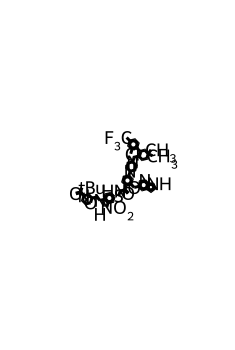 CC1(C)CCC(CN2CCN(c3ccc(C(=O)NSc4ccc(NCC5CN(C(=O)C(C)(C)C)CCO5)c([N+](=O)[O-])c4)c(Oc4cnc5[nH]ccc5c4)c3)CC2)=C(c2ccc(C(F)(F)F)cc2Cl)C1